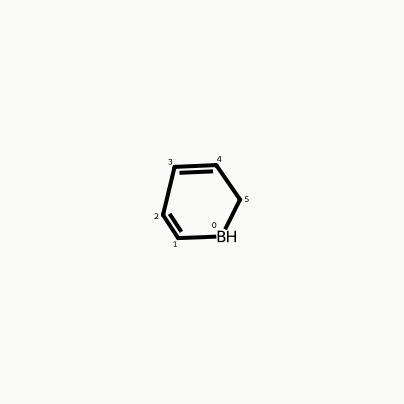 B1C=CC=CC1